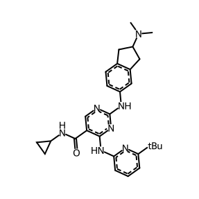 CN(C)C1Cc2ccc(Nc3ncc(C(=O)NC4CC4)c(Nc4cccc(C(C)(C)C)n4)n3)cc2C1